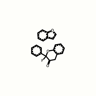 O=C1Cc2ccccc2OC1(F)c1ccccc1.c1ccc2occc2c1